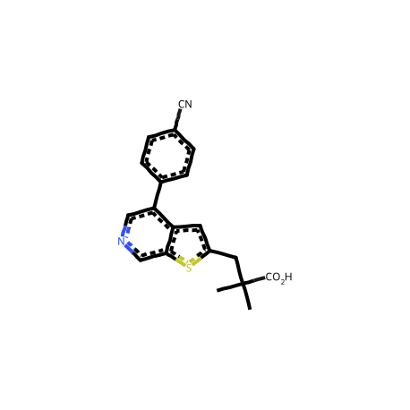 CC(C)(Cc1cc2c(-c3ccc(C#N)cc3)cncc2s1)C(=O)O